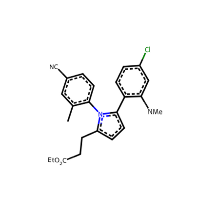 CCOC(=O)CCc1ccc(-c2ccc(Cl)cc2NC)n1-c1ccc(C#N)cc1C